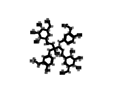 COc1cc(C[C@H](CO[C@@H]2O[C@H](CO)[C@@H](O)[C@H](O)[C@H]2O)C(O)(CO[C@@H]2O[C@H](CO)[C@@H](O)[C@H](O)[C@H]2O)Cc2ccc(O)c(OC)c2)ccc1O